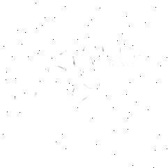 CN(CCF)c1ccc2c(=O)c(C(=O)NC34CCC(F)(CC3)C4)cn(-c3ccc(F)cc3F)c2n1